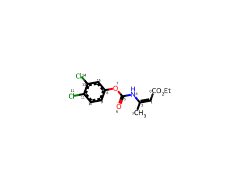 CCOC(=O)/C=C(/C)NC(=O)Oc1ccc(Cl)c(Cl)c1